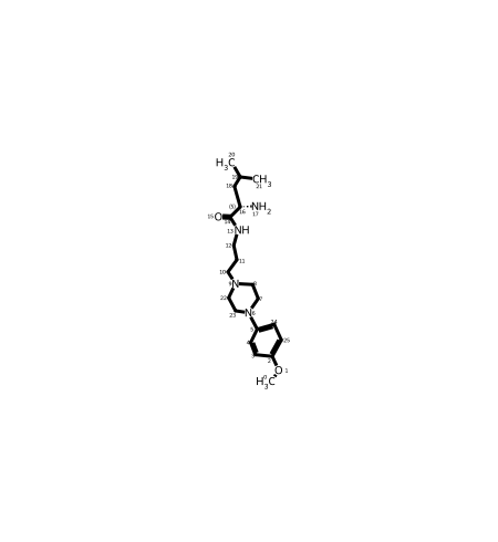 COc1ccc(N2CCN(CCCNC(=O)[C@@H](N)CC(C)C)CC2)cc1